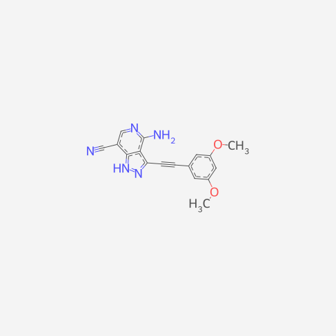 COc1cc(C#Cc2n[nH]c3c(C#N)cnc(N)c23)cc(OC)c1